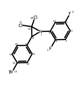 Fc1ccc(F)c(N2C(c3ccc(Br)cc3)C2(Cl)Cl)c1